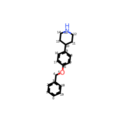 c1ccc(COc2ccc(C3CCNCC3)cc2)cc1